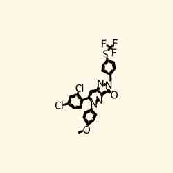 COc1ccc(-n2nc3c(=O)n(Cc4ccc(SC(F)(F)F)cc4)nc-3cc2-c2ccc(Cl)cc2Cl)cc1